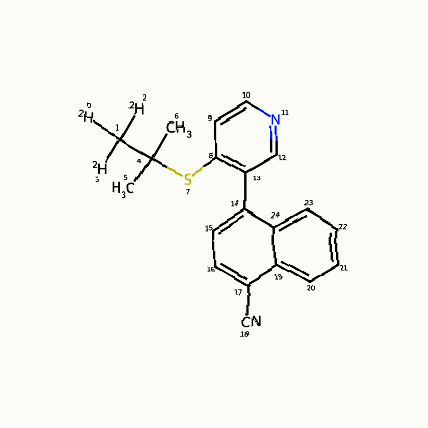 [2H]C([2H])([2H])C(C)(C)Sc1ccncc1-c1ccc(C#N)c2ccccc12